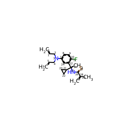 C=CCN(CC=C)c1ccc(F)c(C(C)(NC(=S)C(=C)C)C2CC2)c1